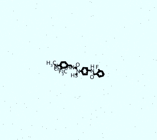 CN(C)c1ccc(CNC(=O)N(S)c2ccc(NC(=O)c3ccccc3F)cc2)cc1C(F)(F)F